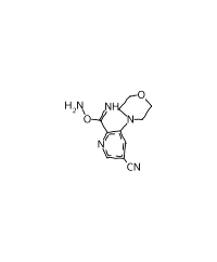 N#Cc1cnc(C(=N)ON)c(N2CCOCC2)c1